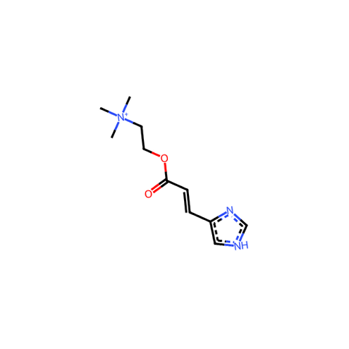 C[N+](C)(C)CCOC(=O)/C=C/c1c[nH]cn1